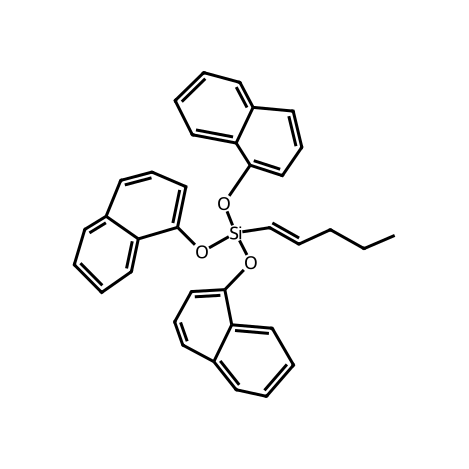 CCCC=C[Si](Oc1cccc2ccccc12)(Oc1cccc2ccccc12)Oc1cccc2ccccc12